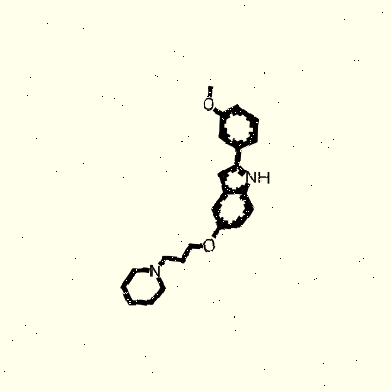 COc1cccc(-c2cc3cc(OCCCN4CCCCC4)ccc3[nH]2)c1